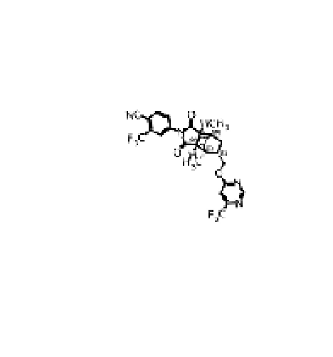 C[C@]12O[C@](C)(C[C@H]1COc1cc(C(F)(F)F)ncn1)[C@H]1C(=O)N(c3ccc(C#N)c(C(F)(F)F)c3)C(=O)[C@H]12